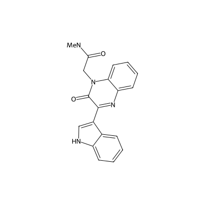 CNC(=O)Cn1c(=O)c(-c2c[nH]c3ccccc23)nc2ccccc21